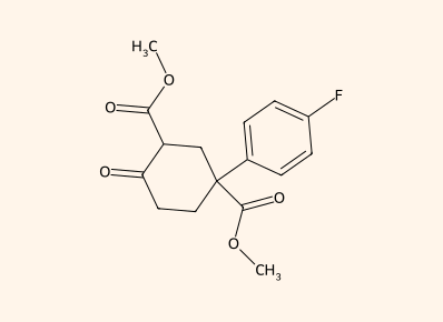 COC(=O)C1CC(C(=O)OC)(c2ccc(F)cc2)CCC1=O